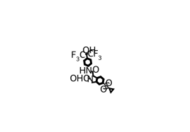 O=CN1Cc2cc(S(=O)(=O)C3CC3)ccc2C1C(=O)Nc1ccc(C(O)(C(F)(F)F)C(F)(F)F)cc1